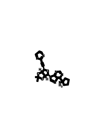 CC1(C)O[C@@H]2[C@H](O1)[C@@H](C#Cc1ncccn1)O[C@H]2n1cnc2c(C3(N)CCCC3)ncnc21